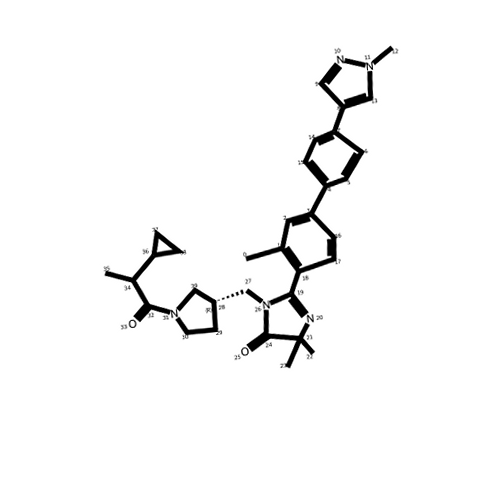 Cc1cc(-c2ccc(-c3cnn(C)c3)cc2)ccc1C1=NC(C)(C)C(=O)N1C[C@@H]1CCN(C(=O)C(C)C2CC2)C1